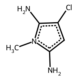 Cn1c(N)cc(Cl)c1N